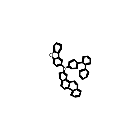 c1ccc(-c2ccccc2-c2ccc(N(c3ccc4ccc5c6ccccc6ccc5c4c3)c3ccc4oc5ccccc5c4c3)cc2)cc1